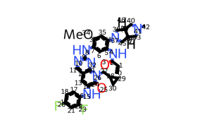 C=CC(=O)Nc1cc(Nc2ncc3cc(Nc4ccc(F)cc4F)c(=O)n(CC4CC4)c3n2)c(OC)cc1N1C[C@H]2CN(C)C[C@H]2C1